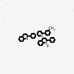 Cc1cccc(-c2ccccn2)c1.[Ir].c1ccc(-c2ccc3ccccc3n2)cc1.c1ccc(-c2ccc3ccccc3n2)cc1